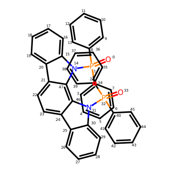 O=P(c1ccccc1)(c1ccccc1)n1c2ccccc2c2ccc3c4ccccc4n(P(=O)(c4ccccc4)c4ccccc4)c3c21